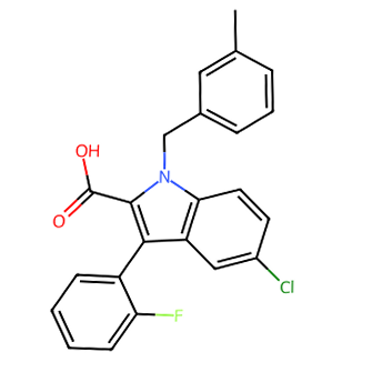 Cc1cccc(Cn2c(C(=O)O)c(-c3ccccc3F)c3cc(Cl)ccc32)c1